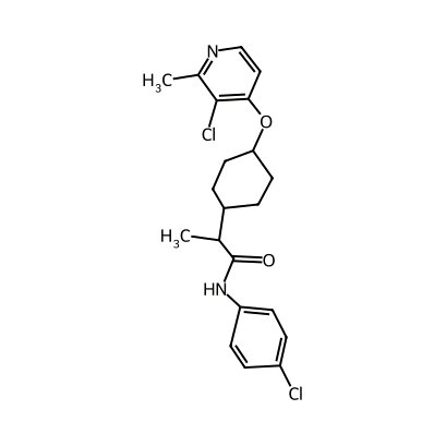 Cc1nccc(OC2CCC(C(C)C(=O)Nc3ccc(Cl)cc3)CC2)c1Cl